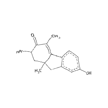 CCCC1CC2(C)Cc3cc(O)ccc3C2=C(C)C1=O